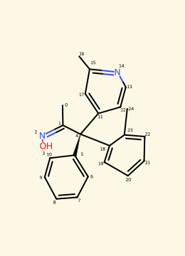 C/C(=N/O)[C@](c1ccccc1)(c1ccnc(C)c1)c1ccccc1C